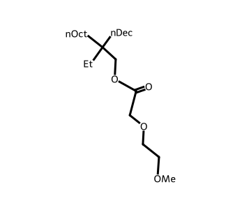 CCCCCCCCCCC(CC)(CCCCCCCC)COC(=O)COCCOC